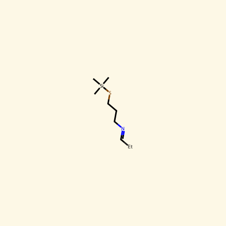 CCC=NCCCS[Si](C)(C)C